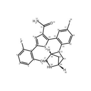 COc1cccc(F)c1-c1nc(C(N)=O)c(-c2cc(F)ccc2N2C[C@H]3C[C@@H]2CN3)s1